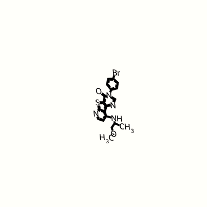 COCC(C)Nc1ccnc2sc3c(=O)n(-c4ccc(Br)cc4)cnc3c12